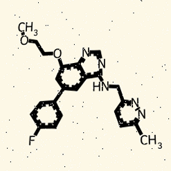 COCCOc1cc(-c2ccc(F)cc2)cc2c(NCc3ccc(C)nn3)ncnc12